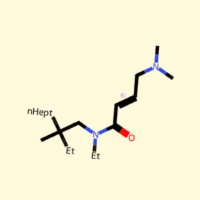 CCCCCCCC(C)(CC)CN(CC)C(=O)/C=C/CN(C)C